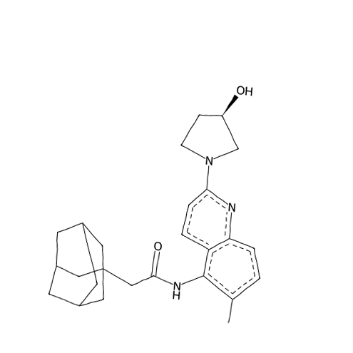 Cc1ccc2nc(N3CC[C@@H](O)C3)ccc2c1NC(=O)CC12CC3CC(CC(C3)C1)C2